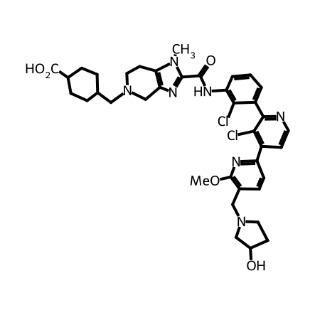 COc1nc(-c2ccnc(-c3cccc(NC(=O)c4nc5c(n4C)CCN(CC4CCC(C(=O)O)CC4)C5)c3Cl)c2Cl)ccc1CN1CCC(O)C1